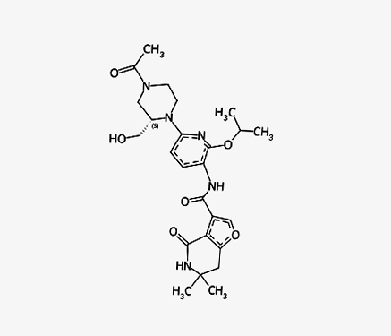 CC(=O)N1CCN(c2ccc(NC(=O)c3coc4c3C(=O)NC(C)(C)C4)c(OC(C)C)n2)[C@H](CO)C1